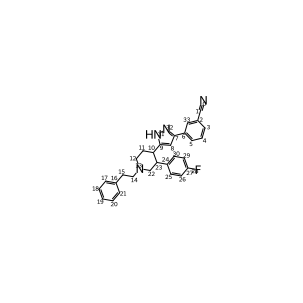 N#Cc1cccc(-c2cc(C3CCN(CCc4ccccc4)CC3c3ccc(F)cc3)[nH]n2)c1